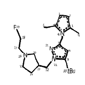 Cc1ccc(C)n1-c1cc(C(C)(C)C)n(CC2CCN(CCF)C2)n1